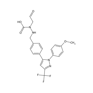 COc1ccc(-n2nc(C(F)(F)F)cc2-c2ccc(CNN(CC=O)C(=O)O)cc2)cc1